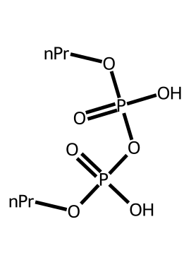 CCCOP(=O)(O)OP(=O)(O)OCCC